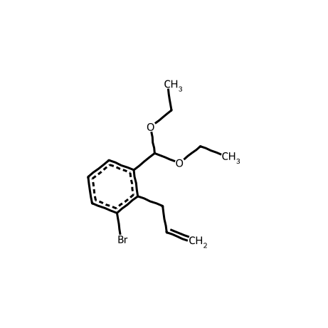 C=CCc1c(Br)cccc1C(OCC)OCC